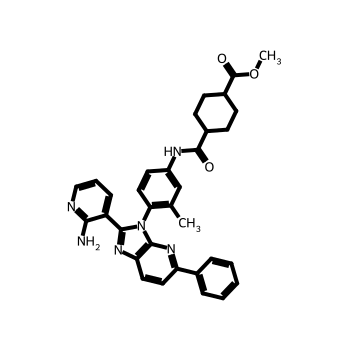 COC(=O)C1CCC(C(=O)Nc2ccc(-n3c(-c4cccnc4N)nc4ccc(-c5ccccc5)nc43)c(C)c2)CC1